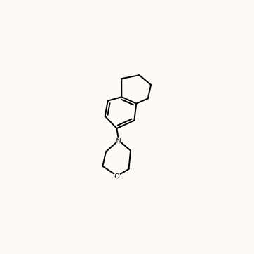 c1cc2c(cc1N1CCOCC1)CCCC2